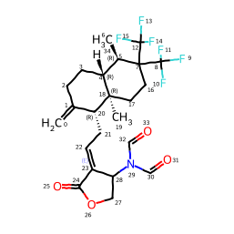 C=C1CC[C@@H]2[C@@H](C)C(C(F)(F)F)(C(F)(F)F)CC[C@@]2(C)[C@@H]1C/C=C1/C(=O)OCC1N(C=O)C=O